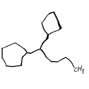 CCC[C](C1CCCC1)C1CCC1